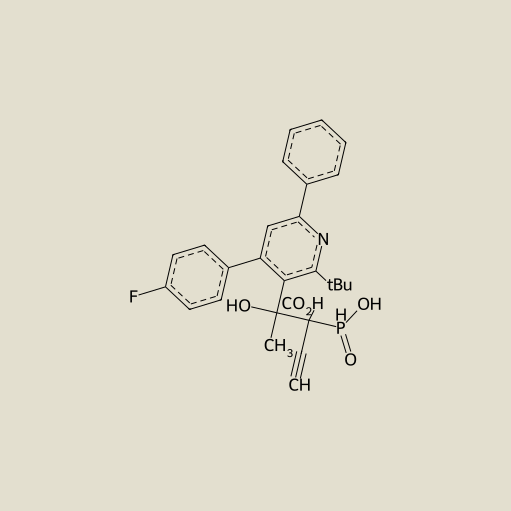 C#CC(C(=O)O)([PH](=O)O)C(C)(O)c1c(-c2ccc(F)cc2)cc(-c2ccccc2)nc1C(C)(C)C